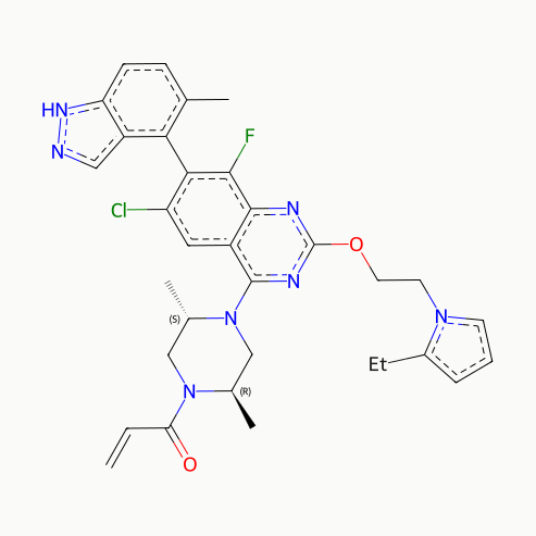 C=CC(=O)N1C[C@H](C)N(c2nc(OCCn3cccc3CC)nc3c(F)c(-c4c(C)ccc5[nH]ncc45)c(Cl)cc23)C[C@H]1C